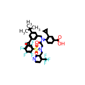 CC(C)(C)c1cc(CN(C(=O)CN(Cc2cnccc2C(F)(F)F)S(=O)(=O)c2c(F)c(F)c(F)c(F)c2F)c2ccc(C(=O)O)cc2C2CC2)cc(C2CC2)c1